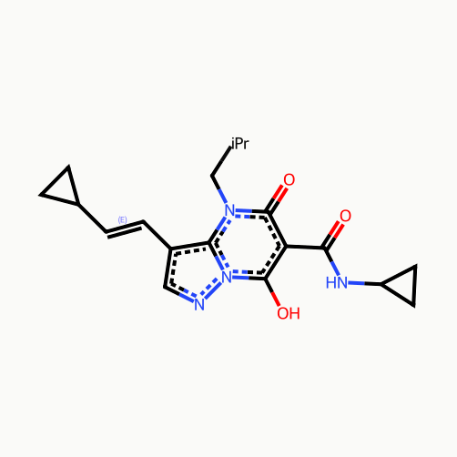 CC(C)Cn1c(=O)c(C(=O)NC2CC2)c(O)n2ncc(/C=C/C3CC3)c12